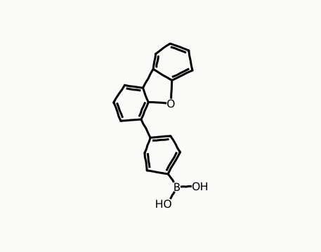 OB(O)c1ccc(-c2cccc3c2oc2ccccc23)cc1